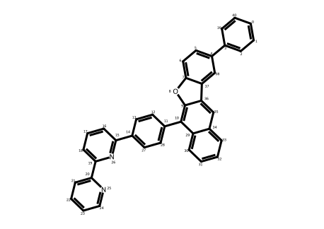 c1ccc(-c2ccc3oc4c(-c5ccc(-c6cccc(-c7ccccn7)n6)cc5)c5ccccc5cc4c3c2)cc1